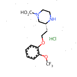 Cl.O=C(O)N1CCN[C@H](CCOc2ccccc2OC(F)(F)F)C1